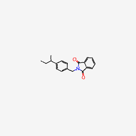 CCC(C)c1ccc(CN2C(=O)c3ccccc3C2=O)cc1